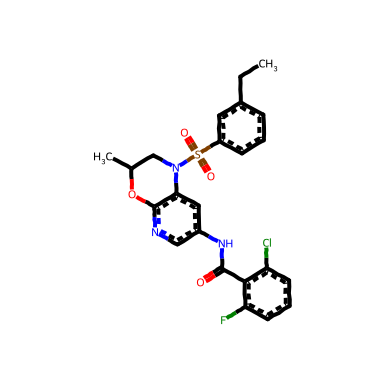 CCc1cccc(S(=O)(=O)N2CC(C)Oc3ncc(NC(=O)c4c(F)cccc4Cl)cc32)c1